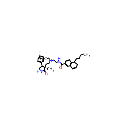 CCCCC1CC=Cc2cc(C(=O)NCCN(CC)CC[C@]3(C)C(=O)NCC3c3ccc(F)cc3)ccc21